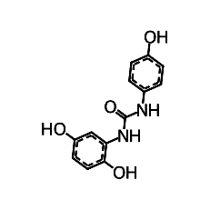 O=C(Nc1ccc(O)cc1)Nc1cc(O)ccc1O